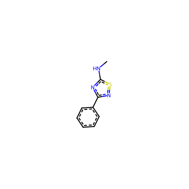 CNc1nc(-c2ccccc2)ns1